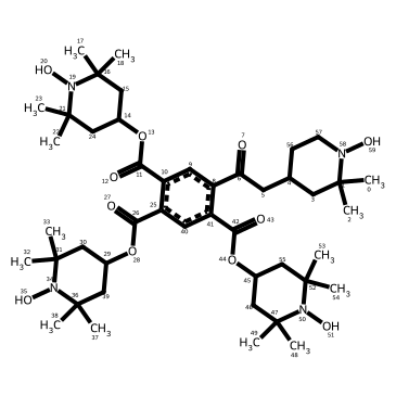 CC1(C)CC(CC(=O)c2cc(C(=O)OC3CC(C)(C)N(O)C(C)(C)C3)c(C(=O)OC3CC(C)(C)N(O)C(C)(C)C3)cc2C(=O)OC2CC(C)(C)N(O)C(C)(C)C2)CCN1O